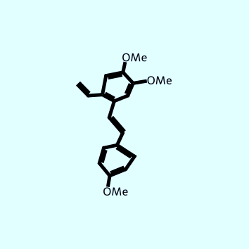 C=Cc1cc(OC)c(OC)cc1C=Cc1ccc(OC)cc1